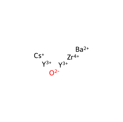 [Ba+2].[Cs+].[O-2].[Y+3].[Y+3].[Zr+4]